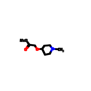 COC(=O)COC1CCN(C)CC1